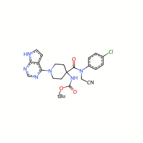 CC(C)(C)OC(=O)NC1(C(=O)N(CC#N)c2ccc(Cl)cc2)CCN(c2ncnc3[nH]ccc23)CC1